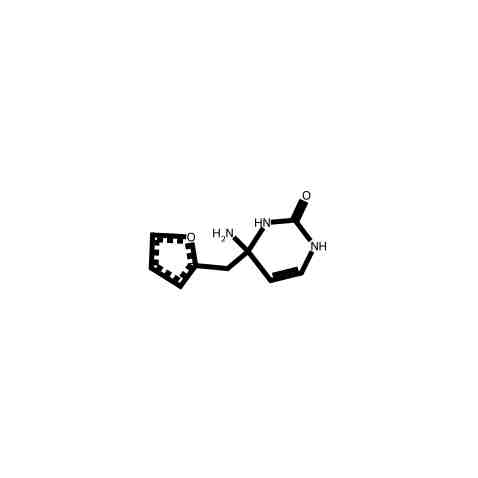 NC1(Cc2ccco2)C=CNC(=O)N1